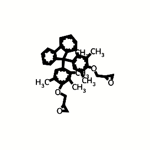 Cc1cc(C2(c3cc(C)c(OCC4CO4)c(C)c3C)c3ccccc3-c3ccccc32)c(C)c(C)c1OCC1CO1